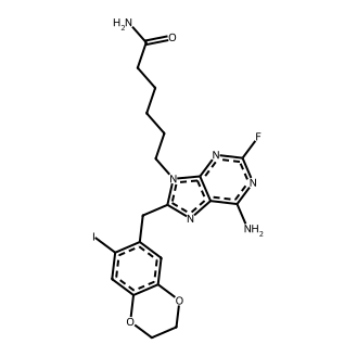 NC(=O)CCCCCn1c(Cc2cc3c(cc2I)OCCO3)nc2c(N)nc(F)nc21